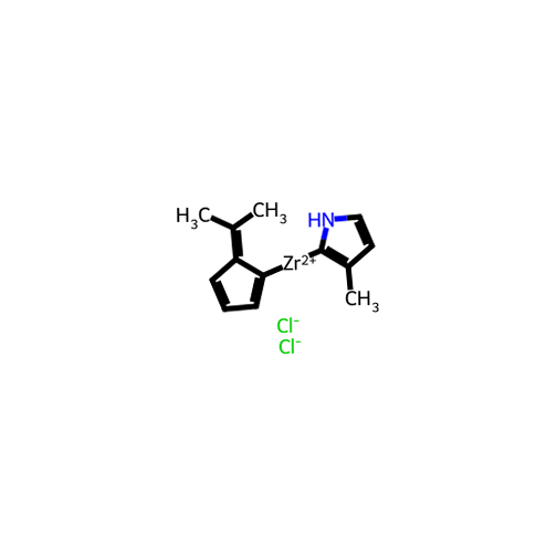 CC(C)=C1C=CC=[C]1[Zr+2][c]1[nH]ccc1C.[Cl-].[Cl-]